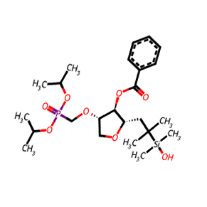 CC(C)OP(=O)(CO[C@H]1CO[C@@H](CC(C)(C)[Si](C)(C)O)[C@@H]1OC(=O)c1ccccc1)OC(C)C